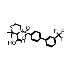 CC1(C)SCCN(S(=O)(=O)c2ccc(-c3cccc(C(F)(F)F)c3)cc2)[C@H]1C(=O)O